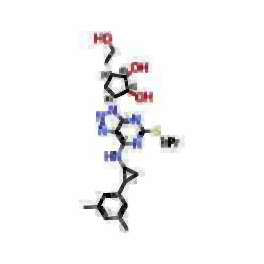 CCCSc1nc(NC2CC2c2cc(C)cc(C)c2)c2nnn([C@@H]3C[C@H](CCO)[C@@H](O)[C@H]3O)c2n1